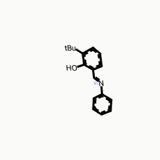 CC(C)(C)c1cccc(/C=N/c2ccccc2)c1O